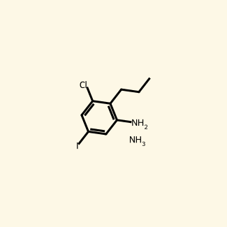 CCCc1c(N)cc(I)cc1Cl.N